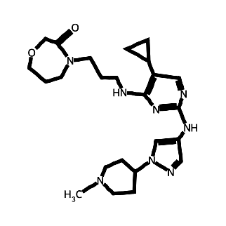 CN1CCC(n2cc(Nc3ncc(C4CC4)c(NCCCN4CCCOCC4=O)n3)cn2)CC1